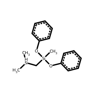 C[SiH](C)C[Si](C)(Oc1ccccc1)Oc1ccccc1